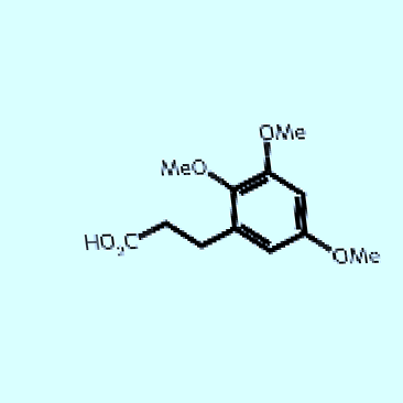 COc1cc(CCC(=O)O)c(OC)c(OC)c1